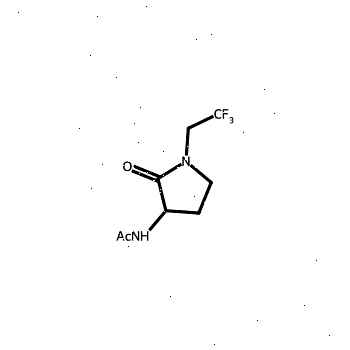 CC(=O)NC1CCN(CC(F)(F)F)C1=O